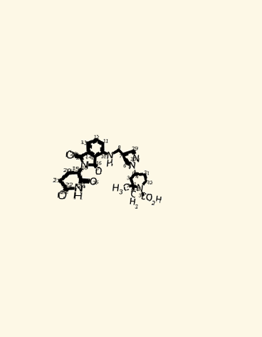 CC1(C)C[C@H](n2cc(CNc3cccc4c3C(=O)N(C3CCC(=O)NC3=O)C4=O)cn2)CCN1C(=O)O